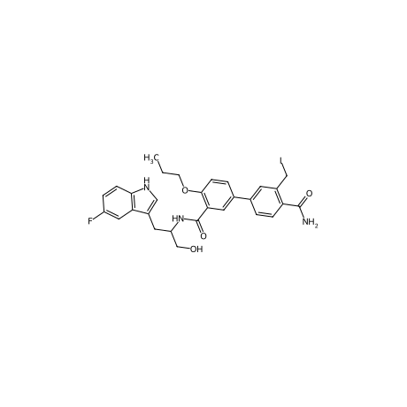 CCCOc1ccc(-c2ccc(C(N)=O)c(CI)c2)cc1C(=O)NC(CO)Cc1c[nH]c2ccc(F)cc12